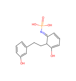 O=P(O)(O)N=C1C=CC=C(O)C1CCc1cccc(O)c1